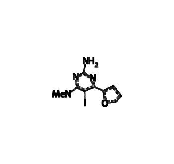 CNc1nc(N)nc(-c2ccco2)c1I